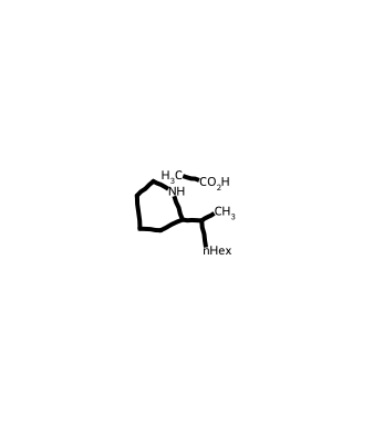 CC(=O)O.CCCCCCC(C)C1CCCCN1